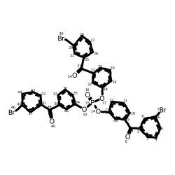 O=C(c1cccc(Br)c1)c1cccc(OP(=O)(Oc2cccc(C(=O)c3cccc(Br)c3)c2)Oc2cccc(C(=O)c3cccc(Br)c3)c2)c1